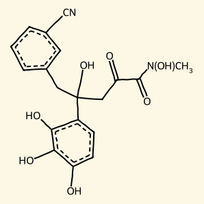 CN(O)C(=O)C(=O)CC(O)(Cc1cccc(C#N)c1)c1ccc(O)c(O)c1O